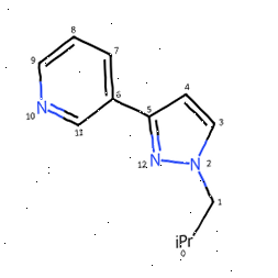 CC(C)Cn1ccc(-c2cccnc2)n1